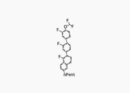 CCCCCc1ccc2c(F)c(-c3ccc(-c4ccc(OC(F)F)c(F)c4)c(F)c3)ccc2c1